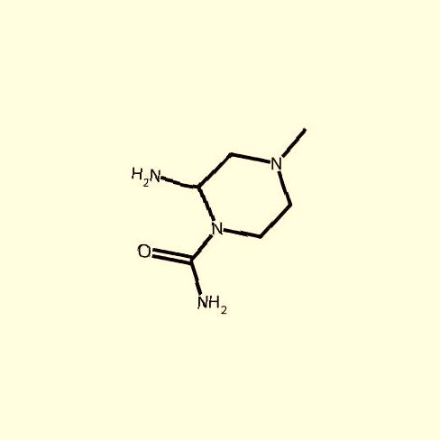 CN1CCN(C(N)=O)C(N)C1